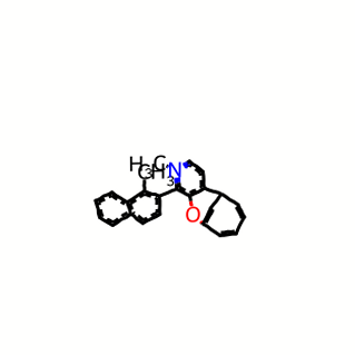 Cc1c(-c2c3c(cc[n+]2C)C2C=CC=CC(=C2)O3)ccc2ccccc12